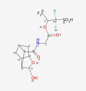 O=C(CNC(=O)C1C2CC3OC(O)C1C3C2)OC(C(F)(F)F)C(F)(F)S(=O)(=O)O